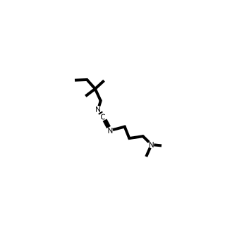 CCC(C)(C)CN=C=NCCCN(C)C